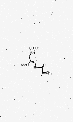 C=CC(=O)NC=C(CNC(=O)OCC)OC